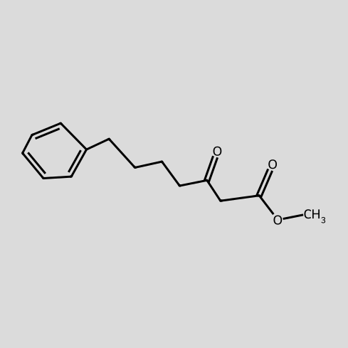 COC(=O)CC(=O)CCCCc1ccccc1